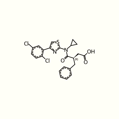 O=C(O)C[C@@H](Cc1ccccc1)C(=O)N(c1nc(-c2cc(Cl)ccc2Cl)cs1)C1CC1